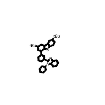 CC(C)(C)c1ccc2sc3c(-c4cccc(-c5nc6ccccc6n5-c5ccccc5)c4)cc(C(C)(C)C)cc3c2c1